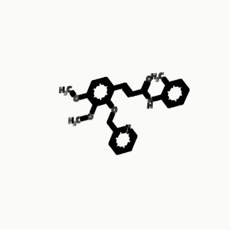 COc1ccc(/C=C/C(=O)Nc2ccccc2C)c(OCc2ccccn2)c1OC